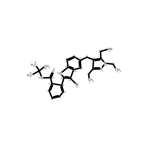 CCc1nn(CC)c(CO)c1Cc1ccc2oc(-c3ccccc3C(=O)OC(C)(C)C)c(Br)c2c1